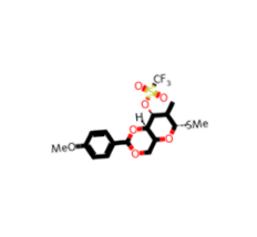 COc1ccc(C2OCC3O[C@@H](SC)C(C)[C@@H](OS(=O)(=O)C(F)(F)F)[C@@H]3O2)cc1